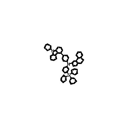 c1ccc(-n2c3ccccc3c3c(-c4ccc(N(c5cccc([Si](c6ccccc6)(c6ccccc6)c6ccccc6)c5)c5ccc6ccc7ccccc7c6c5)cc4)cccc32)cc1